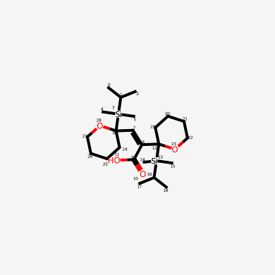 CC(C)[Si](C)(C)C1(C=C(C(=O)O)C2([Si](C)(C)C(C)C)CCCCO2)CCCCO1